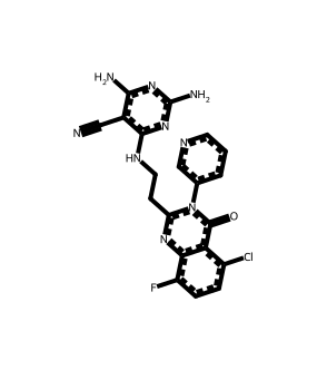 N#Cc1c(N)nc(N)nc1NCCc1nc2c(F)ccc(Cl)c2c(=O)n1-c1cccnc1